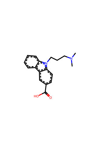 CN(C)CCCn1c2ccccc2c2cc(C(=O)O)ccc21